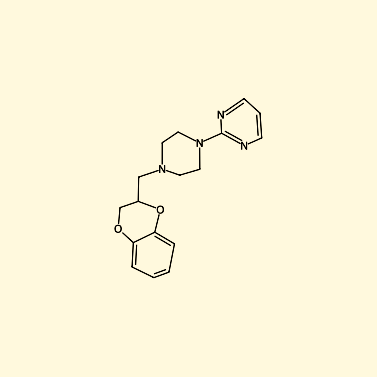 c1cnc(N2CCN(CC3COc4ccccc4O3)CC2)nc1